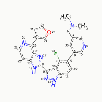 CN(C)Cc1cncc(-c2ccc3[nH]nc(-c4nc5c(-c6ccoc6)nccc5[nH]4)c3c2F)c1